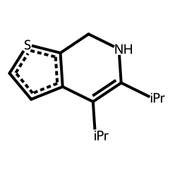 CC(C)C1=C(C(C)C)c2ccsc2CN1